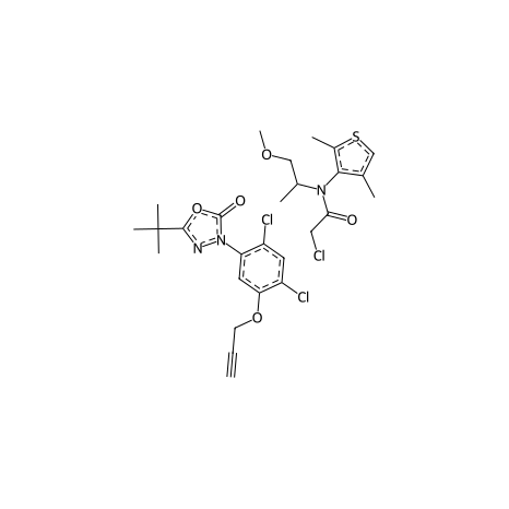 C#CCOc1cc(-n2nc(C(C)(C)C)oc2=O)c(Cl)cc1Cl.COCC(C)N(C(=O)CCl)c1c(C)csc1C